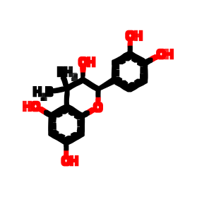 BC1(B)c2c(O)cc(O)cc2O[C@H](c2ccc(O)c(O)c2)[C@@H]1O